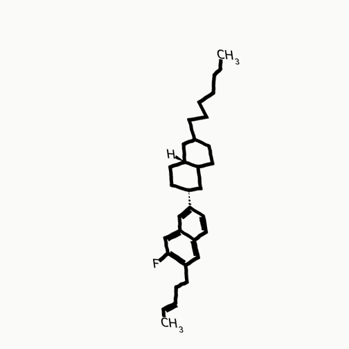 C/C=C/CCc1cc2ccc([C@@H]3CC[C@@H]4CC(CCCCCCC)CCC4C3)cc2cc1F